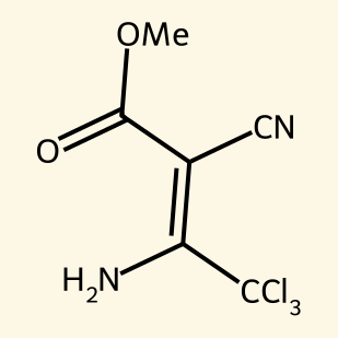 COC(=O)/C(C#N)=C(\N)C(Cl)(Cl)Cl